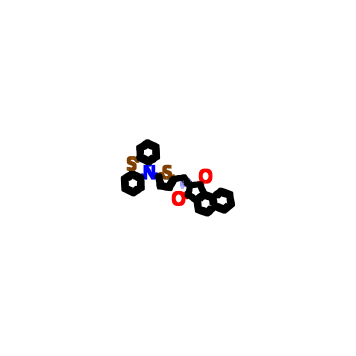 O=C1/C(=C\c2ccc(N3c4ccccc4Sc4ccccc43)s2)C(=O)c2c1ccc1ccccc21